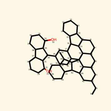 CCC1CC2CC3CCC4C5CCCCC5C5C6CC(C7C8C(O)CCCC8C8CCCC(O)C87)CCC6C6(C2C(C1)C1C2CCCCC2C(C)C16)C3C45